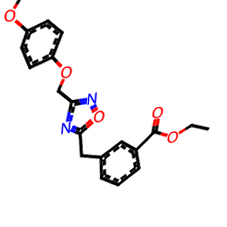 CCOC(=O)c1cccc(Cc2nc(COc3ccc(OC)cc3)no2)c1